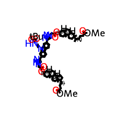 COC(=O)CC[C@@H](C)C(C)C1(C)CCC2[C@@H](CC[C@@H]3C[C@H](OC(=O)Cn4cc(-c5ccc6c7ccc(-c8cn(CC(=O)O[C@@H]9CCC%10(C)C%11CCC%12(C)C([C@H](C)CCC(=O)OC)CC[C@H]%12[C@@H]%11CC[C@@H]%10C9)nn8)cc7n(CCNC(=O)OC(C)(C)C)c6c5)nn4)CCC23C)C1